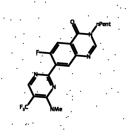 CCCCCn1cnc2cc(-c3ncc(C(F)(F)F)c(NC)n3)c(F)cc2c1=O